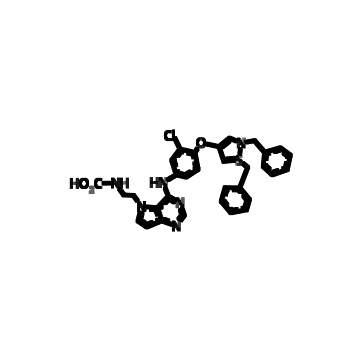 O=C(O)NCCn1ccc2ncnc(Nc3ccc(OC4=CN(Cc5ccccc5)S(Cc5ccccc5)=C4)c(Cl)c3)c21